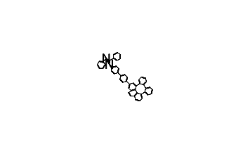 c1ccc(-c2nc3ccccc3n2-c2ccc(-c3ccc(-c4cc5ccc6cccc7c8ccccc8c8ccccc8c(c4)c5c67)cc3)cc2)cc1